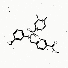 COC(=O)c1ccc(CN(c2cccc(Cl)c2)S(=O)(=O)N2CCN(C)[C@H](C)C2)nc1